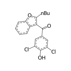 CCCCc1oc2ccccc2c1C(=O)c1cc(Cl)c(O)c(Cl)c1